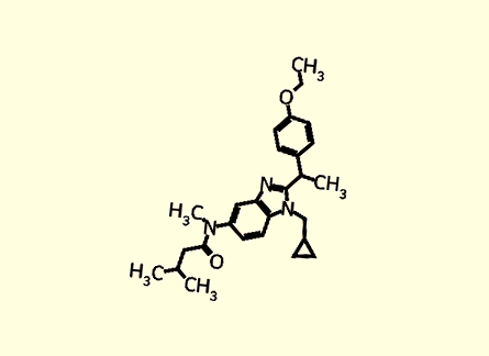 CCOc1ccc(C(C)c2nc3cc(N(C)C(=O)CC(C)C)ccc3n2CC2CC2)cc1